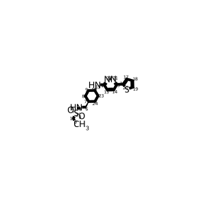 CCS(=O)(=O)NC[C@H]1CC[C@H](Nc2ccc(-c3cccs3)nn2)CC1